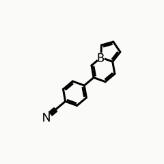 N#Cc1ccc(C2=CB3C=CC=C3C=C2)cc1